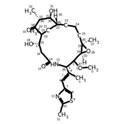 COC1[C@@H](/C(C)=C/c2csc(C)n2)NC(=O)C[C@H](O)[C@]2(C)C[C@@H](CCC[C@@]3(C)O[C@@H]13)[C@H](O)[C@@H](C)C2=O